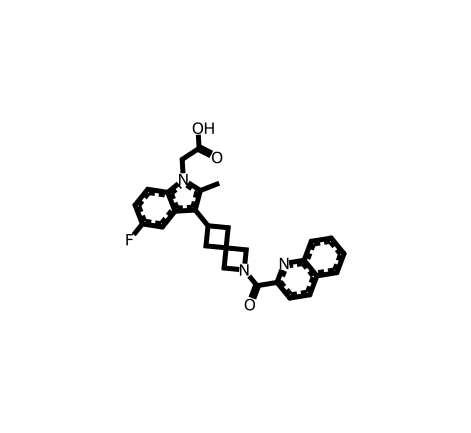 Cc1c(C2CC3(C2)CN(C(=O)c2ccc4ccccc4n2)C3)c2cc(F)ccc2n1CC(=O)O